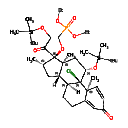 CCOP(=O)(CO[C@]1(C(=O)CO[Si](C)(C)C(C)(C)C)[C@@H](C)C[C@H]2[C@@H]3CCC4=CC(=O)C=C[C@]4(C)[C@@]3(Cl)[C@@H](O[Si](C)(C)C(C)(C)C)C[C@@]21C)OCC